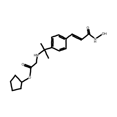 CC(C)(NCC(=O)OC1CCCC1)c1ccc(/C=C/C(=O)NO)cc1